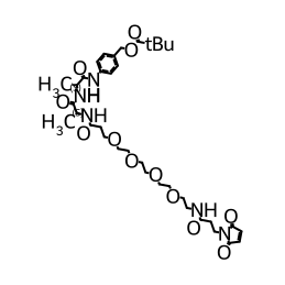 C[C@H](NC(=O)CCOCCOCCOCCOCCNC(=O)CCN1C(=O)C=CC1=O)C(=O)N[C@@H](C)C(=O)Nc1ccc(COC(=O)C(C)(C)C)cc1